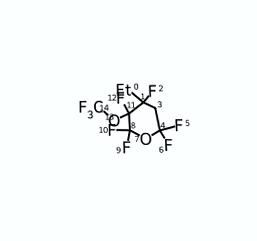 CCC1(F)CC(F)(F)OC(F)(F)C1(F)OC(F)(F)F